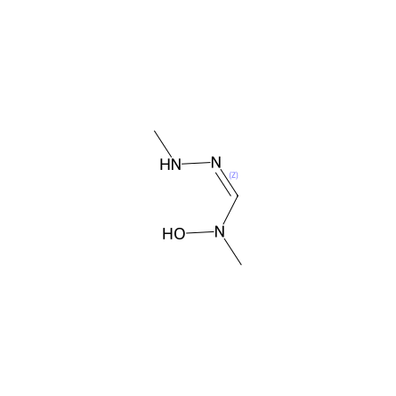 CN/N=C\N(C)O